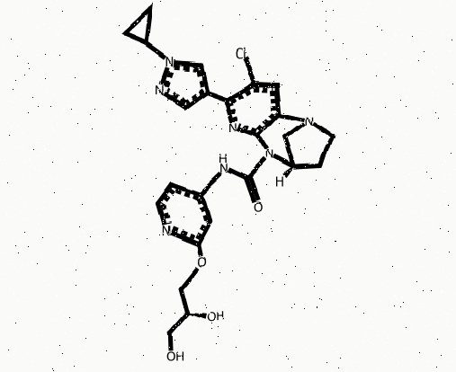 O=C(Nc1ccnc(OC[C@@H](O)CO)c1)N1c2nc(-c3cnn(C4CC4)c3)c(Cl)cc2N2CC[C@H]1C2